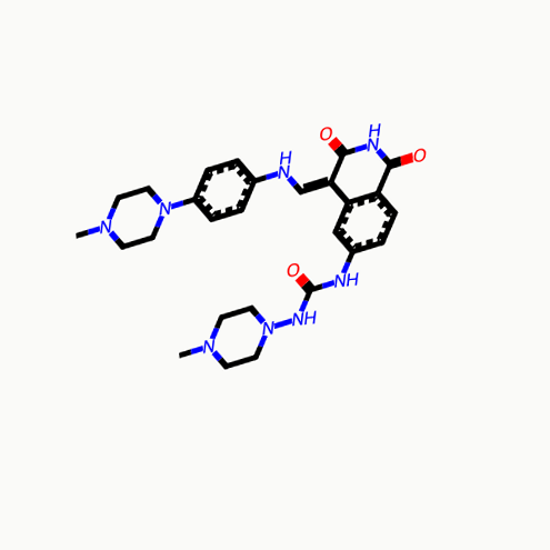 CN1CCN(NC(=O)Nc2ccc3c(c2)/C(=C/Nc2ccc(N4CCN(C)CC4)cc2)C(=O)NC3=O)CC1